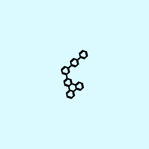 c1ccc(-c2ccc(-c3cccc(-c4ccc5c6ccccc6c6ccccc6c5c4)c3)cc2)cc1